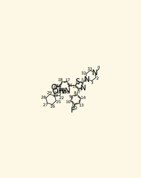 CN1CCN(c2nc(-c3ccc(F)cc3)c(-c3ccc(=O)n(CC4(O)CCCCC4)n3)s2)CC1